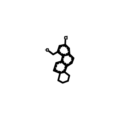 [O]Cc1cc(Cl)cc2ccc3c4c(ccc3c12)CCCC4